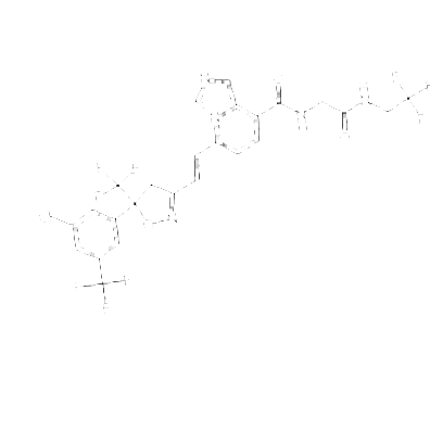 O=C(CNC(=O)c1ccc(C=CC2=NOC(c3cc(Cl)cc(C(F)(F)F)c3)(C(F)(F)F)C2)n2cncc12)NCC(F)(F)F